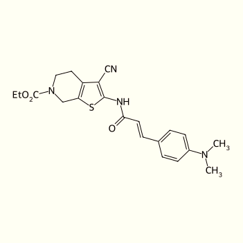 CCOC(=O)N1CCc2c(sc(NC(=O)/C=C/c3ccc(N(C)C)cc3)c2C#N)C1